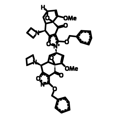 COC1=C[C@]2([n+]3oc4c(c3OCc3ccccc3)C(=O)[C@@]35O[C@@H](C=C3OC)CC5[C@@H]4N3CCC3)CC3[C@H](N4CCC4)c4onc(OCc5ccccc5)c4C(=O)[C@]13O2